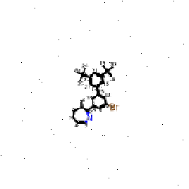 CC1CCC=CN=C1C1C=C(Br)C=C(c2cc(C(C)(C)C)cc(C(C)(C)C)c2)C1